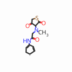 CN(CC(=O)NC1=CC[CH]C=C1)C1C(=O)CSC1=O